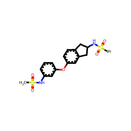 CC(C)S(=O)(=O)NC1Cc2ccc(Oc3cccc(NS(C)(=O)=O)c3)cc2C1